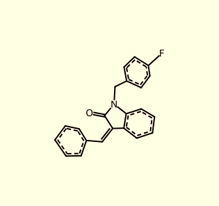 O=C1C(=Cc2ccccc2)c2ccccc2N1Cc1ccc(F)cc1